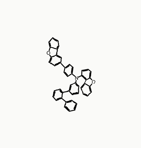 c1ccc(-c2ccccc2-c2cccc(N(c3ccc(-c4ccc5oc6ccccc6c5c4)cc3)c3cccc4oc5ccccc5c34)c2)cc1